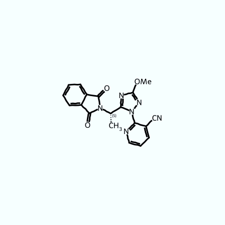 COc1nc([C@H](C)N2C(=O)c3ccccc3C2=O)n(-c2ncccc2C#N)n1